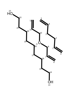 C=CCCC=C.C=CCOCC=C.OCCCCCCCCCO